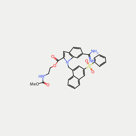 COC(=O)NCCOC(=O)c1cc2ccc(C(=N)N)cc2n1Cc1cc(S(=O)(=O)c2ccccc2)cc2ccccc12